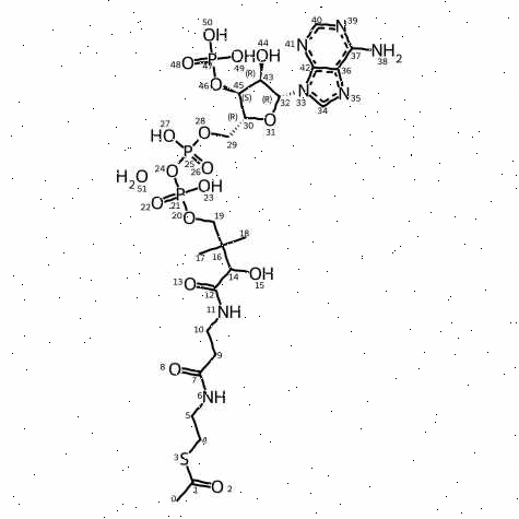 CC(=O)SCCNC(=O)CCNC(=O)C(O)C(C)(C)COP(=O)(O)OP(=O)(O)OC[C@H]1O[C@@H](n2cnc3c(N)ncnc32)[C@H](O)[C@@H]1OP(=O)(O)O.O